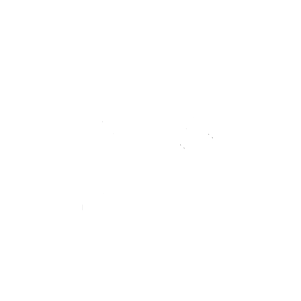 COc1ccc(CC(OCCCCN(Cc2ccccn2)C2CC2)(c2ccccc2)c2ccccc2)cc1